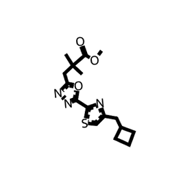 COC(=O)C(C)(C)Cc1nnc(-c2nc(CC3CCC3)cs2)o1